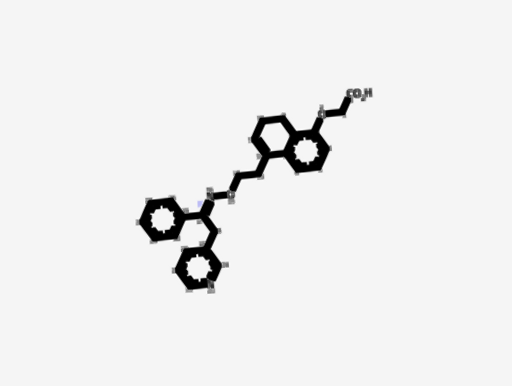 O=C(O)COc1cccc2c1CCC=C2CCO/N=C(\Cc1cccnc1)c1ccccc1